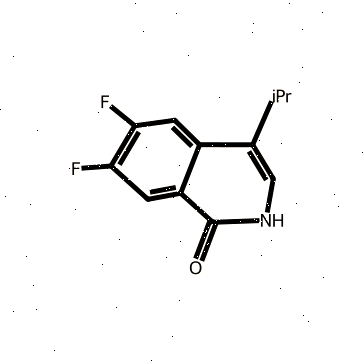 CC(C)c1c[nH]c(=O)c2cc(F)c(F)cc12